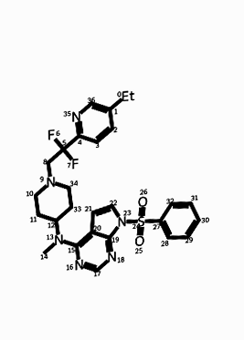 CCc1ccc(C(F)(F)CN2CCC(N(C)c3ncnc4c3ccn4S(=O)(=O)c3ccccc3)CC2)nc1